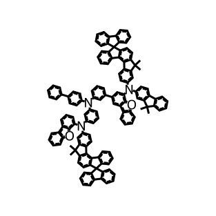 CC1(C)c2ccccc2-c2ccc(N(c3ccc4c(c3)C(C)(C)c3ccc5c(c3-4)-c3ccccc3C53c4ccccc4-c4ccccc43)c3cc(-c4cccc(N(c5ccc(-c6ccccc6)cc5)c5cccc(N(c6ccc7c(c6)C(C)(C)c6ccc8c(c6-7)-c6ccccc6C86c7ccccc7-c7ccccc76)c6cccc7c6oc6ccccc67)c5)c4)cc4c3oc3ccccc34)cc21